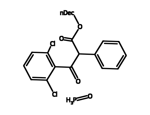 CCCCCCCCCCOC(=O)C(C(=O)c1c(Cl)cccc1Cl)c1ccccc1.O=[PH3]